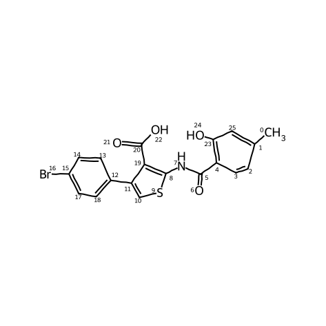 Cc1ccc(C(=O)Nc2scc(-c3ccc(Br)cc3)c2C(=O)O)c(O)c1